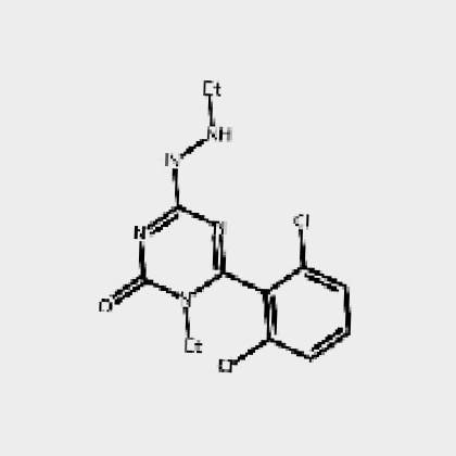 CCNNc1nc(-c2c(Cl)cccc2Cl)n(CC)c(=O)n1